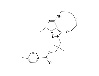 CCc1nn(CC(C)(C)COC(=O)c2ccc(C)cc2)c2c1C(=O)NCCCOCCC2